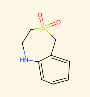 O=S1(=O)CCNc2ccccc2C1